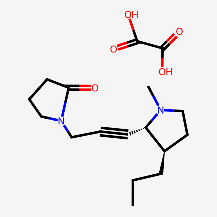 CCC[C@@H]1CCN(C)[C@H]1C#CCN1CCCC1=O.O=C(O)C(=O)O